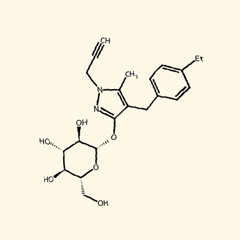 C#CCn1nc(O[C@@H]2O[C@H](CO)[C@@H](O)[C@H](O)[C@H]2O)c(Cc2ccc(CC)cc2)c1C